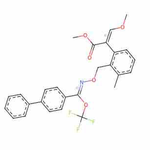 CO/C=C(/C(=O)OC)c1cccc(C)c1CO/N=C(\OC(F)(F)F)c1ccc(-c2ccccc2)cc1